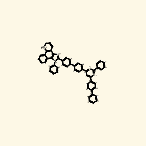 C1=Cc2c(c3ccccc3c3c2nc(-c2ccc(-c4ccc(-c5cc(-c6ccc(-c7ccccc7)cc6)nc(-c6ccccc6)n5)cc4)cc2)n3-c2ccccc2)NC1